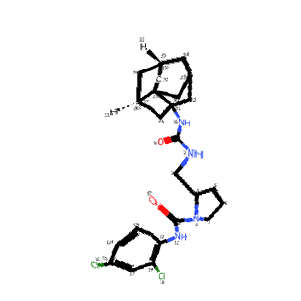 O=C(NCC1CCCN1C(=O)Nc1ccc(Cl)cc1Cl)NC12CC3C[C@H]4C[C@H](C1)C2(C3)C4